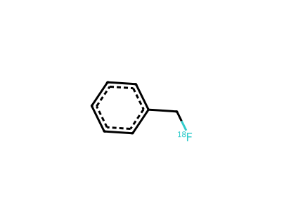 [18F]Cc1ccccc1